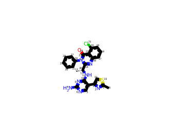 Cc1nc(-c2cnc(N)nc2N[C@H](C)c2nc3cccc(Cl)c3c(=O)n2-c2ccccc2)cs1